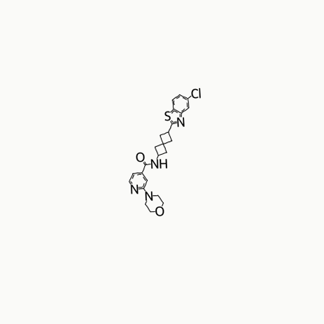 O=C(NC1CC2(C1)CC(c1nc3cc(Cl)ccc3s1)C2)c1ccnc(N2CCOCC2)c1